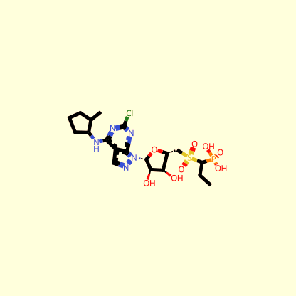 CCC(P(=O)(O)O)S(=O)(=O)C[C@H]1O[C@@H](n2ncc3c(NC4CCCC4C)nc(Cl)nc32)[C@H](O)[C@@H]1O